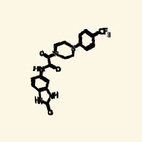 O=C(Nc1ccc2[nH]c(=O)[nH]c2c1)C(=O)N1CCN(c2ccc(C(F)(F)F)cc2)CC1